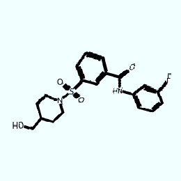 O=C(Nc1cccc(F)c1)c1cccc(S(=O)(=O)N2CCC(CO)CC2)c1